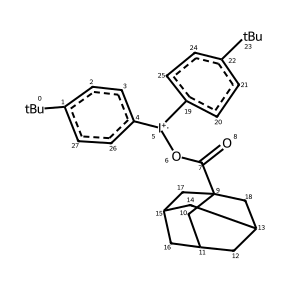 CC(C)(C)c1ccc([I+](OC(=O)C23CC4CC(CC(C4)C2)C3)c2ccc(C(C)(C)C)cc2)cc1